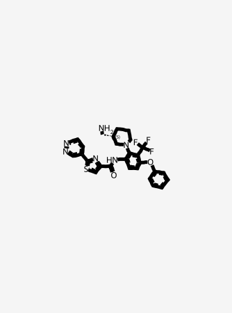 NC[C@@H]1CCCN(c2c(NC(=O)c3csc(-c4ccnnc4)n3)ccc(Oc3ccccc3)c2C(F)(F)F)C1